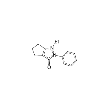 CCn1c2c(c(=O)n1-c1ccccc1)CCC2